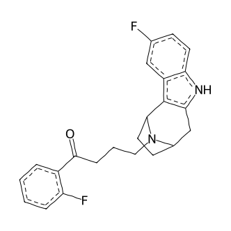 O=C(CCCN1C2CCC1c1c([nH]c3ccc(F)cc13)C2)c1ccccc1F